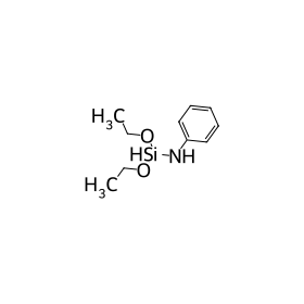 CCO[SiH](Nc1ccccc1)OCC